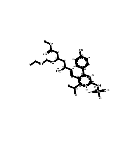 CCOCOC(CC(=O)OC)CC(O)/C=C/c1c(-c2ccc(F)cc2)nc(NS(C)(=O)=O)nc1C(C)C